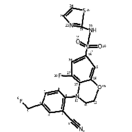 N#Cc1cc(CF)ccc1N1CCOc2cc(S(=O)(=O)Nc3nccs3)cc(F)c21